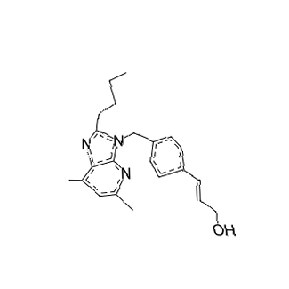 CCCCc1nc2c(C)cc(C)nc2n1Cc1ccc(C=CCO)cc1